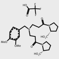 COc1ccc(CN(CCC(=O)N2CCC[C@@H]2C(=O)O)CCC(=O)N2CCC[C@@H]2C(=O)O)cc1OC.O=C(O)C(F)(F)F